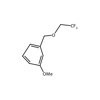 COc1cccc(COCC(F)(F)F)c1